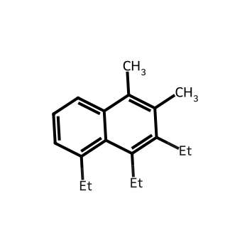 CCc1c(C)c(C)c2cccc(CC)c2c1CC